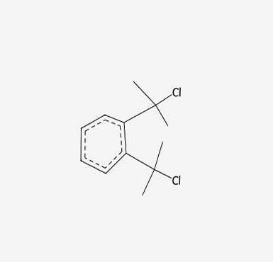 CC(C)(Cl)c1ccccc1C(C)(C)Cl